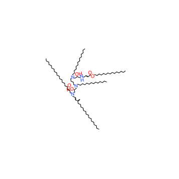 C=C(/C=C/CN(C/C=C/C(=O)CCCCCCCCCCCCCCCC)CC(O)CN(CCCCCCCCCCCCCC)CCCCN(CCCCCCCCCCCCCC)CC(O)CNC/C=C/C(=O)OCCCCCCCCCCCCCCC)CCCCCCCCCCCCCCCC